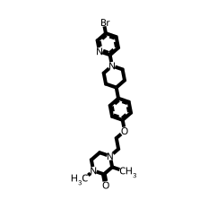 CC1C(=O)N(C)CCN1CCOc1ccc(C2CCN(c3ccc(Br)cn3)CC2)cc1